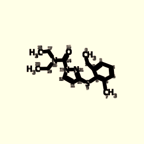 CCc1cccc(C)c1Sc1ccn(C(=O)N(CC)CC)n1